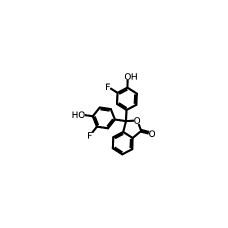 O=C1OC(c2ccc(O)c(F)c2)(c2ccc(O)c(F)c2)c2ccccc21